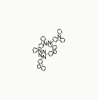 c1ccc(-n2c3ccccc3c3cc(-c4cccc(-n5c6ccccc6c6cc7c8ccccc8n(-c8nc(-c9ccc%10oc%11ccccc%11c%10c9)nc(-c9ccc%10oc%11ccccc%11c%10c9)n8)c7cc65)n4)ccc32)cc1